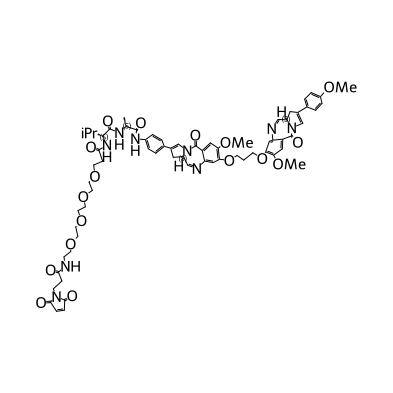 COc1ccc(C2=CN3C(=O)c4cc(OC)c(OCCCOc5cc6c(cc5OC)C(=O)N5C=C(c7ccc(NC(=O)[C@H](C)NC(=O)[C@@H](NC(=O)CCOCCOCCOCCOCCNC(=O)CCN8C(=O)C=CC8=O)C(C)C)cc7)C[C@H]5C=N6)cc4N=C[C@@H]3C2)cc1